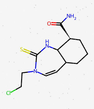 NC(=O)[C@H]1CCCC2C=CN(CCCl)C(=S)NC21